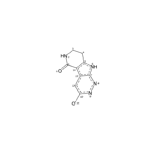 O=C1NCCc2[nH]c3nnc(Cl)cc3c21